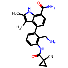 Cc1[nH]c2c(C(N)=O)ccc(-c3cccc(NC(=O)C4(C#N)CC4)c3CN)c2c1C